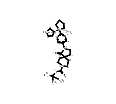 C[C@H]1CCC[N+]1(c1ncc(N2CCC3(CCN(C(=O)OC(C)(C)C)CC3)C2=O)cn1)[C@H]1CCNC1